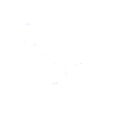 COc1ccc(N2CCNCC2)cc1S(C)(=O)=O